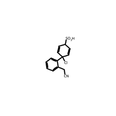 N#CCc1ccccc1C1(Cl)C=CC(S(=O)(=O)O)C=C1